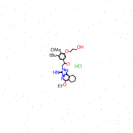 CCOc1nn2c(=N)n(CC(=O)c3cc(OCCCO)c(OC)c(C(C)(C)C)c3)nc2c2c1CCCC2.Cl